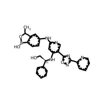 CC1OB(O)c2ccc(Nc3cc(N[C@H](CO)c4ccccc4)c(-c4nc(-c5ccccn5)no4)cn3)cc21